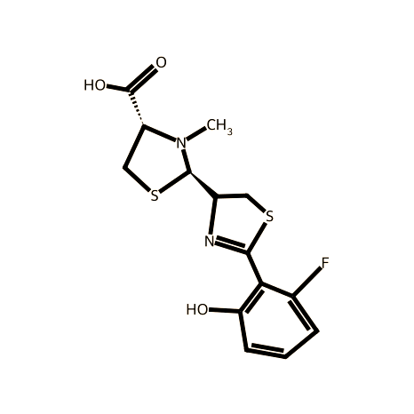 CN1[C@@H](C(=O)O)CS[C@@H]1C1CSC(c2c(O)cccc2F)=N1